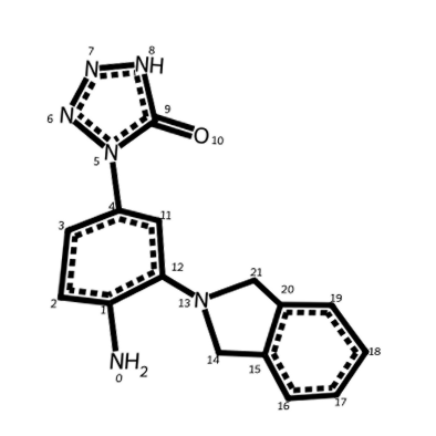 Nc1ccc(-n2nn[nH]c2=O)cc1N1Cc2ccccc2C1